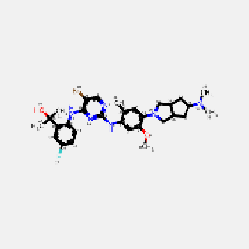 COc1cc(Nc2ncc(Br)c(Nc3ccc(F)cc3C(C)(C)O)n2)c(C)cc1N1CC2CC(N(C)C)CC2C1